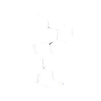 CC(C)(C)OC(=O)N1CCOC[C@H]1c1cc(Cl)cc(-c2ccnc(N)c2)c1